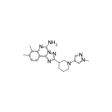 Cc1ccc2c(nc(N)n3nc(C4CCCN(c5cnn(C)c5)C4)nc23)c1C